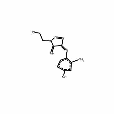 N=C1C(=Nc2ccc(O)cc2N)C=NN1CCO